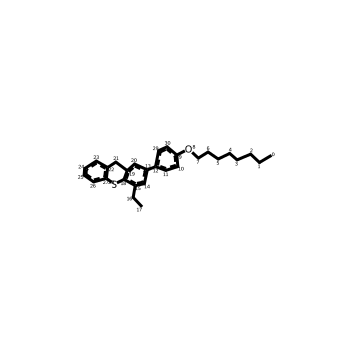 CCCCCCCCOc1ccc(-c2cc(CC)c3c(c2)Cc2ccccc2S3)cc1